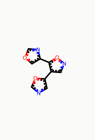 [c]1noc(-c2cocn2)c1-c1cnco1